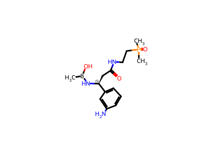 CB(O)N[C@@H](CC(=O)NCCP(C)(C)=O)c1cccc(N)c1